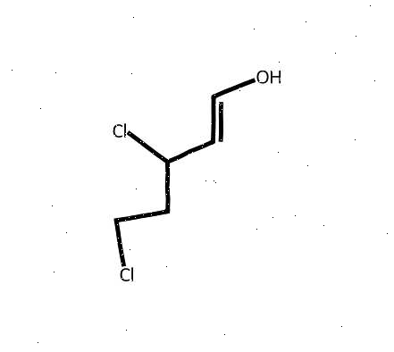 OC=CC(Cl)CCCl